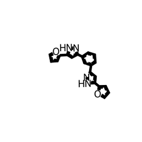 c1cc(-c2cc(-c3ccco3)[nH]n2)cc(-c2cc(-c3ccco3)[nH]n2)c1